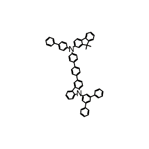 CC1(C)c2ccccc2-c2ccc(N(c3ccc(-c4ccccc4)cc3)c3ccc(-c4ccc(-c5ccc6c(c5)c5ccccc5n6-c5cc(-c6ccccc6)cc(-c6ccccc6)c5)cc4)cc3)cc21